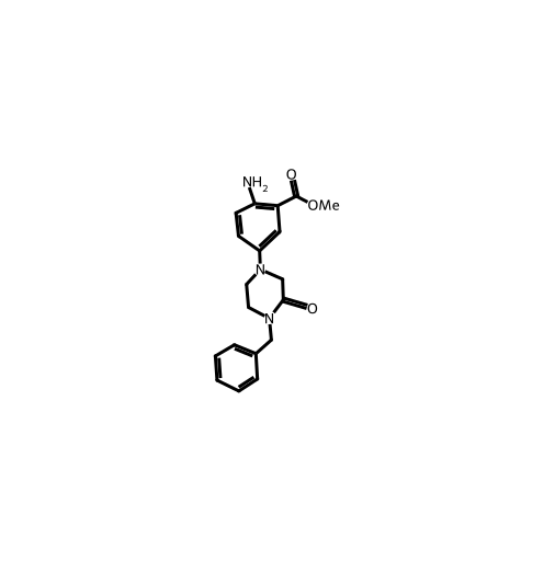 COC(=O)c1cc(N2CCN(Cc3ccccc3)C(=O)C2)ccc1N